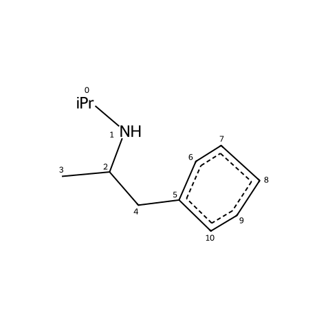 CC(C)NC(C)Cc1ccccc1